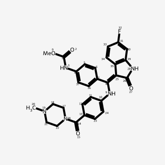 COC(=O)Nc1ccc(/C(Nc2ccc(C(=O)N3CCN(C)CC3)cc2)=C2/C(=O)Nc3cc(F)ccc32)cc1